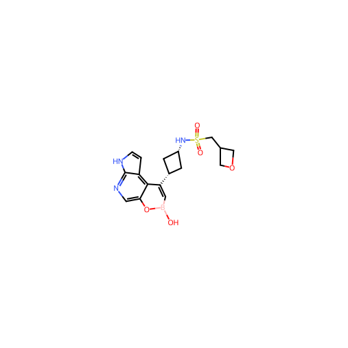 O=S(=O)(CC1COC1)N[C@H]1C[C@@H](C2=CB(O)Oc3cnc4[nH]ccc4c32)C1